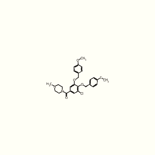 COc1ccc(COc2cc(C(=O)N3CCN(C)CC3)cc(Cl)c2OCc2ccc(OC)cc2)cc1